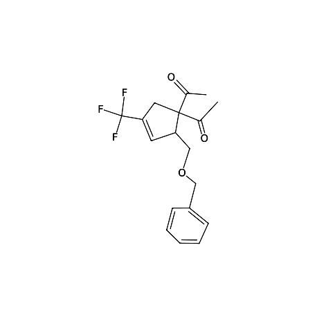 CC(=O)C1(C(C)=O)CC(C(F)(F)F)=CC1COCc1ccccc1